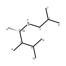 CC(C)CS[C@@H](C)C(C)C(C)C